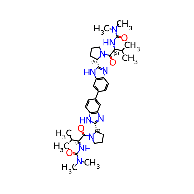 CC(C)[C@H](NC(=O)N(C)C)C(=O)N1CCC[C@H]1c1nc2cc(-c3ccc4nc([C@@H]5CCCN5C(=O)[C@@H](NC(=O)N(C)C)C(C)C)[nH]c4c3)ccc2[nH]1